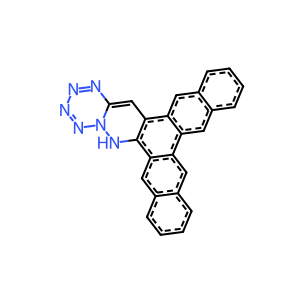 C1=C2N=NN=NN2Nc2c1c1cc3ccccc3cc1c1cc3ccccc3cc21